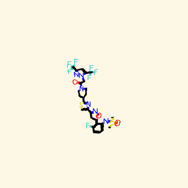 CS(C)(=O)=Nc1cccc(F)c1C1CC(c2csc(C3CCN(C(=O)Cn4nc(C(F)(F)F)cc4C(F)(F)F)CC3)n2)=NO1